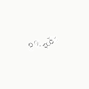 CC(=O)Oc1ccc(Cc2c(C)cc(OC[P@@]3(=O)OCC[C@@H](c4cccc(Cl)c4)O3)cc2C)cc1C(C)C